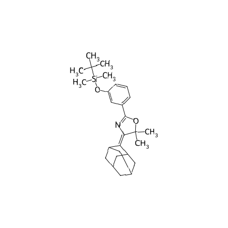 CC1(C)OC(c2cccc(O[Si](C)(C)C(C)(C)C)c2)=NC1=C1C2CC3CC(C2)CC1C3